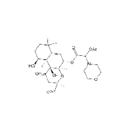 C=C[C@@]1(C)CC(=O)[C@@]2(O)[C@](C)(O1)[C@@H](OC(=O)C(OC(C)=O)N1CCOCC1)C=C1C(C)(C)CC[C@H](O)[C@@]12C